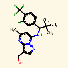 Cc1cc(N[C@@H](c2ccc(C(F)(F)F)c(F)c2)C(C)(C)C)n2ncc(CO)c2n1